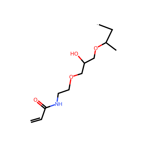 [CH2]CC(C)OCC(O)COCCNC(=O)C=C